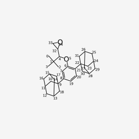 CC(C)(C)C(Oc1cc(C23CC4CC(CC(C4)C2)C3)ccc1C12CC3CC(CC(C3)C1)C2)C1CO1